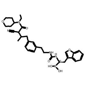 CCN(C(=O)C(C#N)C(C)Cc1cccc(CCNC(=O)N[C@@H](Cc2coc3ccccc23)B(O)O)c1)C1CCOCC1